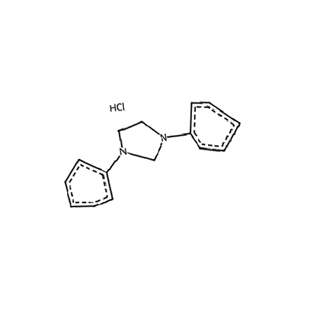 Cl.c1ccc(N2CCN(c3ccccc3)C2)cc1